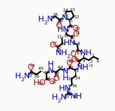 CC[C@H](C)[C@H](NC(=O)CNC(=O)[C@H](CCC(N)=O)NC(=O)[C@@H]1CCCN1C(=O)CN)C(=O)N[C@@H](CCCNC(=N)N)C(=O)NCC(=O)N[C@@H](CCC(N)=O)C(=O)O